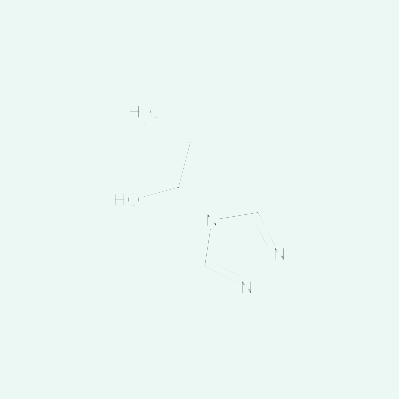 C=CC(O)n1[c]nnc1